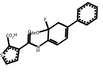 COC1(F)CC(c2ccccc2)=CC=C1NC(=O)c1ccsc1C(=O)O